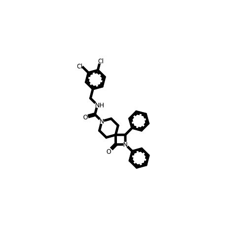 O=C(NCc1ccc(Cl)c(Cl)c1)N1CCC2(CC1)C(=O)N(c1ccccc1)C2c1ccccc1